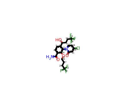 NC(=O)c1ccc(C(O)CCC(F)(F)F)c(-n2ccc(Cl)cc2=O)c1OCCCC(F)(F)F